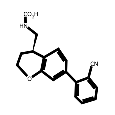 N#Cc1ccccc1-c1ccc2c(c1)OCC[C@H]2CNC(=O)O